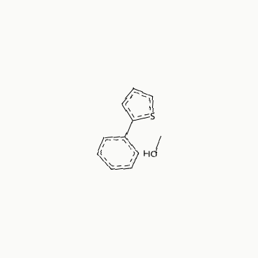 CO.c1ccc(-c2cccs2)cc1